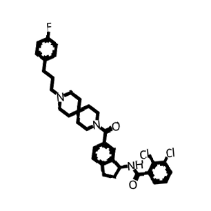 O=C(NC1CCc2ccc(C(=O)N3CCC4(CCN(CCCc5ccc(F)cc5)CC4)CC3)cc21)c1cccc(Cl)c1Cl